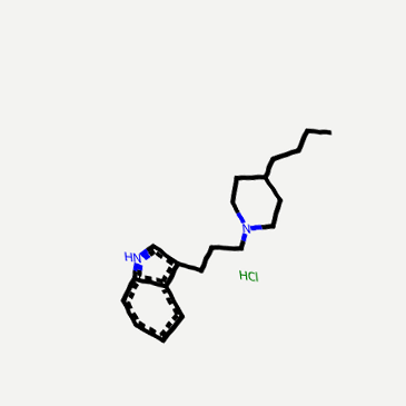 CCCCC1CCN(CCCc2c[nH]c3ccccc23)CC1.Cl